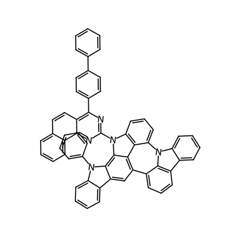 c1ccc(-c2ccc(-c3nc(-n4c5cccc6c5c5c(cc7c8ccccc8n(-c8ccccc8)c7c54)c4cccc5c7ccccc7n6c45)nc4c3ccc3ccccc34)cc2)cc1